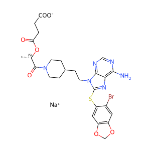 C[C@H](OC(=O)CCC(=O)[O-])C(=O)N1CCC(CCn2c(Sc3cc4c(cc3Br)OCO4)nc3c(N)ncnc32)CC1.[Na+]